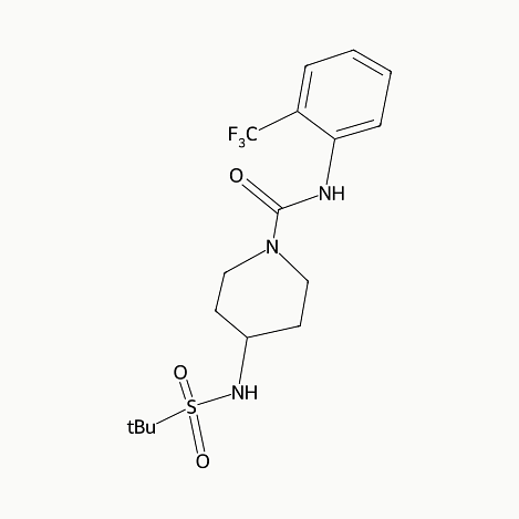 CC(C)(C)S(=O)(=O)NC1CCN(C(=O)Nc2ccccc2C(F)(F)F)CC1